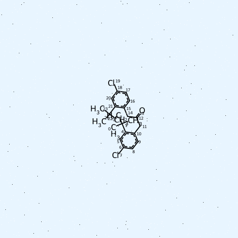 CC(C)(C)c1cc(Cl)ccc1CC(=O)Cc1ccc(Cl)cc1C(C)(C)C